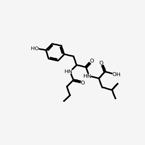 CCCC(=O)NC(Cc1ccc(O)cc1)C(=O)NC(CC(C)C)C(=O)O